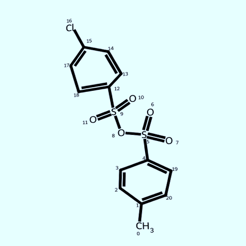 Cc1ccc(S(=O)(=O)OS(=O)(=O)c2ccc(Cl)cc2)cc1